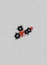 O=C1CC2C=C(OP(=O)(Oc3ccccc3)Oc3ccccc3)CC2C1